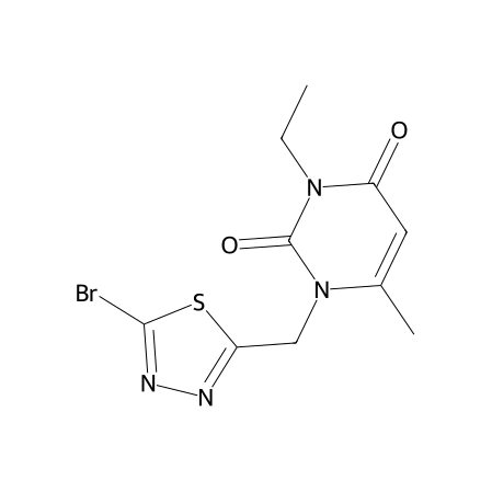 CCn1c(=O)cc(C)n(Cc2nnc(Br)s2)c1=O